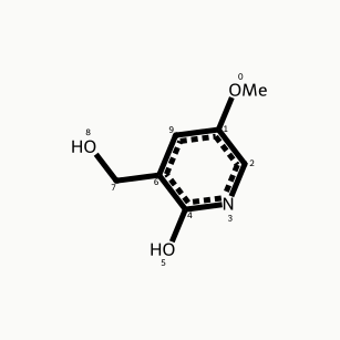 COc1cnc(O)c(CO)c1